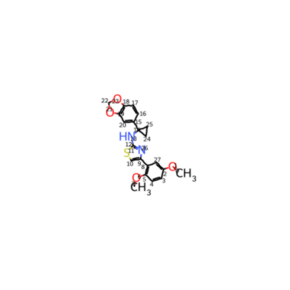 COc1ccc(OC)c(-c2csc(NC3(c4ccc5c(c4)OCO5)CC3)n2)c1